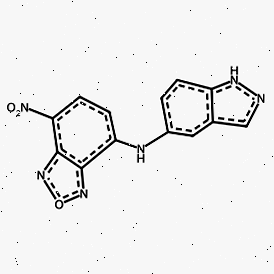 O=[N+]([O-])c1ccc(Nc2ccc3[nH]ncc3c2)c2nonc12